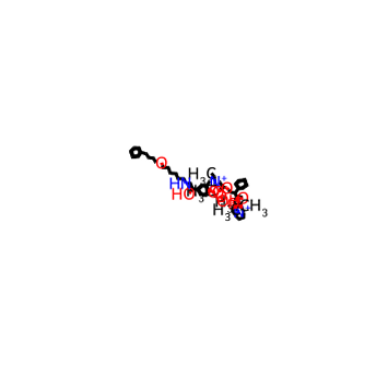 CC[N+](CC)(CC(=O)OCC(C(=O)OC1CC2CCC(C1)[N+]2(C)C(C)C)c1ccccc1)Cc1cc(C(O)CNCCCCCCOCCCCc2ccccc2)ccc1OCOO